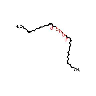 CCCC/C=C\CCCCCCCC/C=C\C(=O)COCOCOCC(=O)/C=C\CCCCCCCC/C=C\CCCC